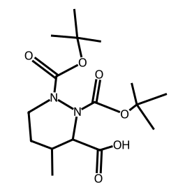 CC1CCN(C(=O)OC(C)(C)C)N(C(=O)OC(C)(C)C)C1C(=O)O